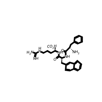 N=C(N)NCCC[C@H](NC(=O)[C@H](Cc1ccc2ccccc2c1)NC(=O)[C@@H](N)Cc1ccccc1)C(=O)O